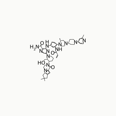 C=CC(=O)Nc1cc(Nc2nc(N3CCCC(N4CCn5c(cc6c5CC(C)(C)C6)C4=O)C3CO)cnc2C(N)=O)ccc1N1CCN(C2CCN(c3ccnc(C)c3)CC2)C[C@@H]1C